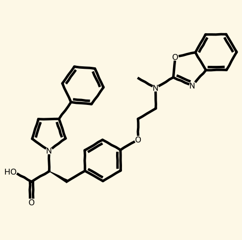 CN(CCOc1ccc(C[C@@H](C(=O)O)n2ccc(-c3ccccc3)c2)cc1)c1nc2ccccc2o1